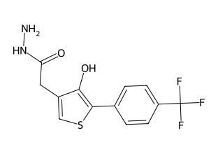 NNC(=O)Cc1csc(-c2ccc(C(F)(F)F)cc2)c1O